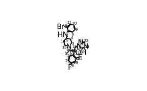 C[C@@H](N1CCC(Nc2ccccc2Br)CC1)[C@](O)(Cn1cncn1)c1ccc(F)cc1F